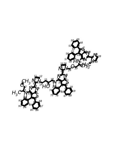 COCC(C)Nc1nc(-c2nccn2CCC(O)CNc2nc(-c3nccn3COCC(C)Nc3nc(-c4nccn4C)nc4sc(-c5ccccc5)c(-c5ccccc5)c34)nc3sc(-c4ccccc4)c(-c4ccccc4)c23)nc2sc(-c3ccccc3)c(-c3ccccc3)c12